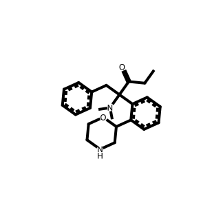 CCC(=O)C(Cc1ccccc1)(c1ccccc1C1CNCCO1)N(C)C